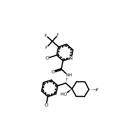 O=C(N[C@@H](c1cccc(Cl)c1)[C@]1(O)CC[C@H](F)CC1)c1nccc(C(F)(F)F)c1Cl